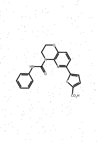 O=C(O)c1ccc(-c2ccc3c(n2)N(C(=O)Nc2ccccc2)CCO3)s1